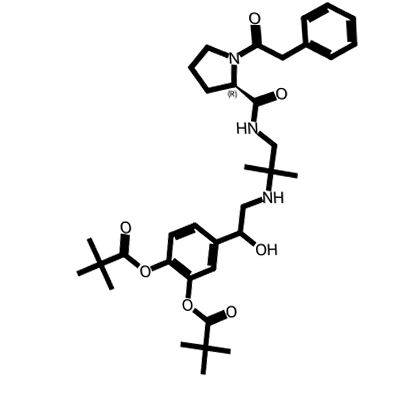 CC(C)(CNC(=O)[C@H]1CCCN1C(=O)Cc1ccccc1)NCC(O)c1ccc(OC(=O)C(C)(C)C)c(OC(=O)C(C)(C)C)c1